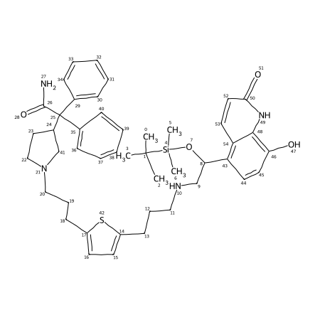 CC(C)(C)[Si](C)(C)OC(CNCCCc1ccc(CCCN2CCC(C(C(N)=O)(c3ccccc3)c3ccccc3)C2)s1)c1ccc(O)c2[nH]c(=O)ccc12